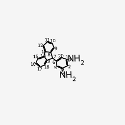 Nc1cc(N)cc(C2c3ccccc3-c3ccccc32)c1